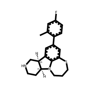 Cc1cc(F)ccc1-c1cc2c3c(c1)[C@@H]1CNCC[C@@H]1N3CCCS2